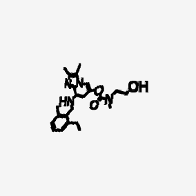 CCc1cccc(C)c1CNc1cc(OC(=O)N(C)CCO)cn2c(C)c(C)nc12